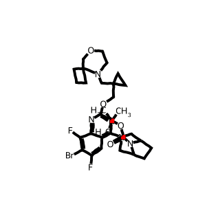 CC(C)(C)OC(=O)N1C2CCC1CN(c1nc(OCC3(CN4CCOCC45CCC5)CC3)nc3c(F)c(Br)c(F)cc13)C2